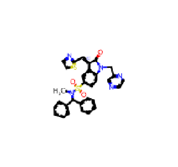 CN(C(c1ccccc1)c1ccccc1)S(=O)(=O)c1ccc2c(c1)/C(=C\c1nccs1)C(=O)N2Cc1cnccn1